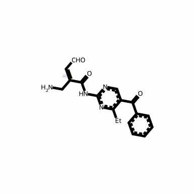 CCc1nc(NC(=O)/C(=C\C=O)CN)ncc1C(=O)c1ccccc1